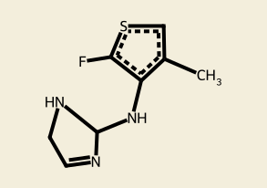 Cc1csc(F)c1NC1N=CCN1